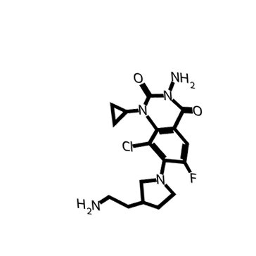 NCCC1CCN(c2c(F)cc3c(=O)n(N)c(=O)n(C4CC4)c3c2Cl)C1